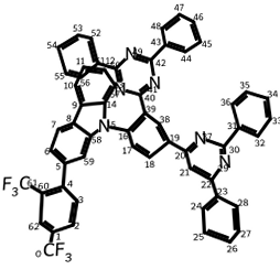 FC(F)(F)c1ccc(-c2ccc3c4ccccc4n(-c4ccc(-c5cc(-c6ccccc6)nc(-c6ccccc6)n5)cc4-c4nc(-c5ccccc5)nc(-c5ccccc5)n4)c3c2)c(C(F)(F)F)c1